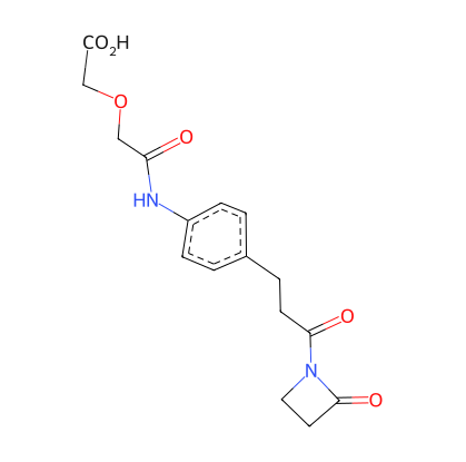 O=C(O)COCC(=O)Nc1ccc(CCC(=O)N2CCC2=O)cc1